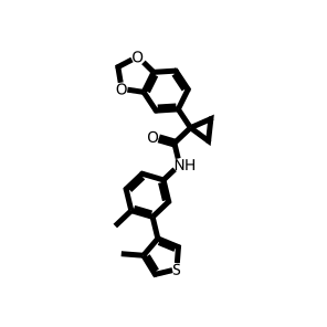 Cc1cscc1-c1cc(NC(=O)C2(c3ccc4c(c3)OCO4)CC2)ccc1C